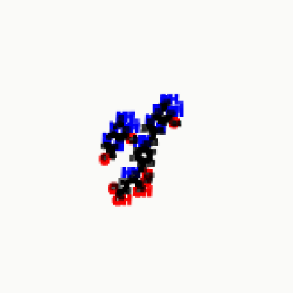 Nc1nc2ncc(C=O)nc2c(=O)[nH]1.Nc1nc2ncc(CNc3ccc(C(=O)NC(CCC(=O)O)C(=O)O)cc3)nc2c(=O)[nH]1